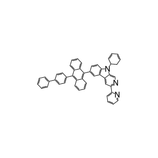 C1=CCC(n2c3ccc(-c4c5ccccc5c(-c5ccc(-c6ccccc6)cc5)c5ccccc45)cc3c3cc(-c4ccccn4)ncc32)C=C1